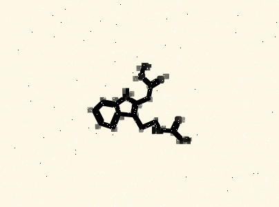 CCCC(=O)NCCc1c(CC(=O)OC(C)C)[nH]c2ccccc12